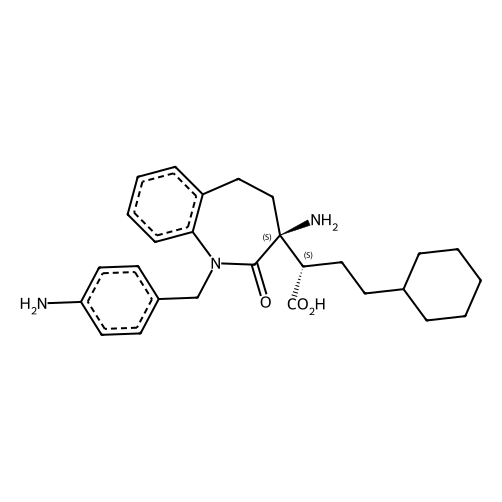 Nc1ccc(CN2C(=O)[C@@](N)([C@H](CCC3CCCCC3)C(=O)O)CCc3ccccc32)cc1